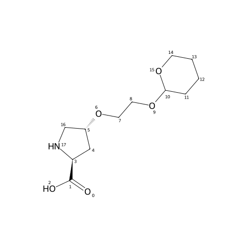 O=C(O)[C@@H]1C[C@@H](OCCOC2CCCCO2)CN1